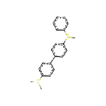 C[SH](C)c1ccc(-c2ccc([SH](C)c3ccccc3)cc2)cc1